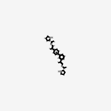 C/C(=C\N=C(/C)[C@@H]1CCCN1)c1cccc(C23CCC(/C(C)=C/N=C(\C)[C@@H]4CCCN4)(CC2)CC3)c1